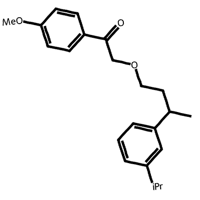 COc1ccc(C(=O)COCCC(C)c2cccc(C(C)C)c2)cc1